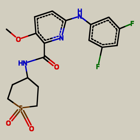 COc1ccc(Nc2cc(F)cc(F)c2)nc1C(=O)NC1CCS(=O)(=O)CC1